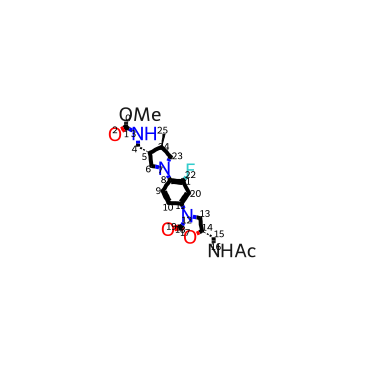 COC(=O)NC[C@H]1CN(c2ccc(N3C[C@H](CNC(C)=O)OC3=O)cc2F)C[C@@H]1C